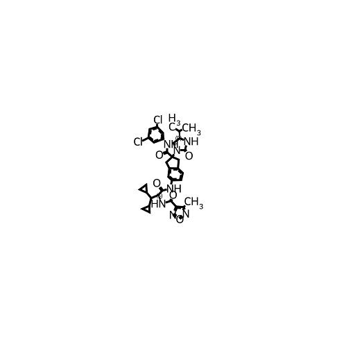 Cc1nonc1C(=O)N[C@H](C(=O)Nc1ccc2c(c1)CC(C(=O)Nc1cc(Cl)cc(Cl)c1)(N1C[C@@H](C(C)C)NC1=O)C2)C(C1CC1)C1CC1